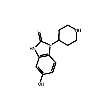 O=c1[nH]c2cc(O)ccc2n1C1CCNCC1